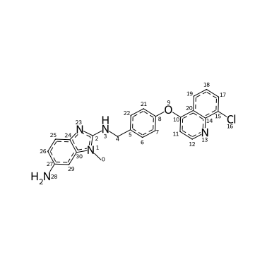 Cn1c(NCc2ccc(Oc3ccnc4c(Cl)cccc34)cc2)nc2ccc(N)cc21